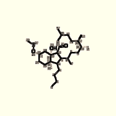 CCCCC1C(C(C)CC[C@@H](C)[C@H](C)CCC(C)C)C(C=O)[C@]2(O)C[C@@H](OSC)CC[C@]12C